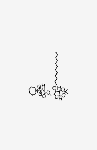 CCCCCCCCCCCCO[C@@H]1[C@H]2OC(C)(C)O[C@H]2O[C@@H]1COC(=O)NS(=O)(=O)N1CCCCCC1